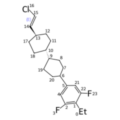 CCc1c(F)cc(C2CCC([C@H]3CC[C@H](/C=C/Cl)CC3)CC2)cc1F